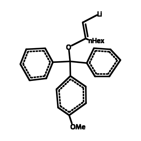 [Li]/[CH]=C(\CCCCCC)OC(c1ccccc1)(c1ccccc1)c1ccc(OC)cc1